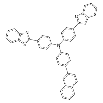 c1ccc2cc(-c3ccc(N(c4ccc(-c5cc6ccccc6o5)cc4)c4ccc(-c5nc6ccccc6s5)cc4)cc3)ccc2c1